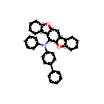 c1ccc(-c2ccc(N(c3ccccc3)c3c4oc5ccccc5c4cc4oc5ccccc5c34)cc2)cc1